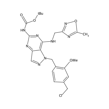 COc1cc(CCl)ccc1Cn1ncc2nc(NC(=O)OC(C)(C)C)nc(NCc3noc(C)n3)c21